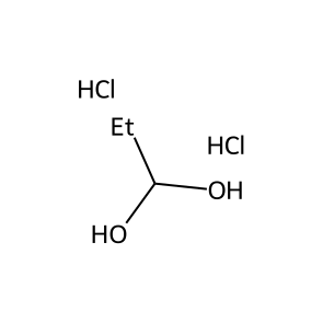 CCC(O)O.Cl.Cl